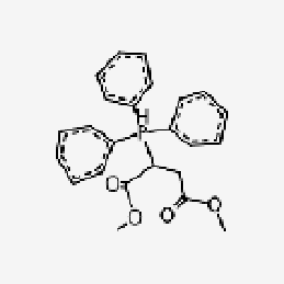 COC(=O)CC(C(=O)OC)[PH](c1ccccc1)(c1ccccc1)c1ccccc1